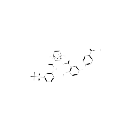 COc1ccc(Oc2ccc(C(=O)O)cc2)cc1C(=O)N[C@H]1[C@@H](C(=O)Nc2cccc(S(=O)(=O)C(C)(F)F)c2)[C@@H]2C=C[C@H]1C2